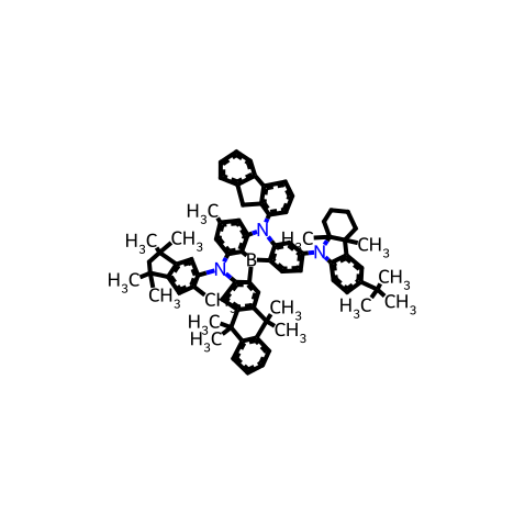 Cc1cc2c3c(c1)N(c1cccc4c1Cc1ccccc1-4)c1cc(N4c5ccc(C(C)(C)C)cc5C5(C)CCCCC45C)ccc1B3c1cc3c(cc1N2c1cc2c(cc1C)C(C)(C)CC2(C)C)C(C)(C)c1ccccc1C3(C)C